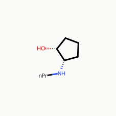 CCCN[C@H]1CCC[C@H]1O